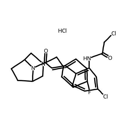 Cl.O=C(CCl)Nc1cc(Cl)ccc1C=CC(=O)N1C2CCC1CN(Cc1ccc(F)cc1)C2